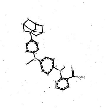 COC(=O)c1cccnc1N(C)c1ccc(N(C)c2ccc(C34CC5CC(CC(C5)C3)C4)cc2)cc1